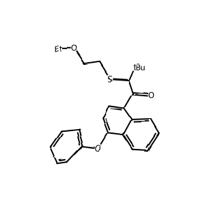 CCOCCSC(C(=O)c1ccc(Oc2ccccc2)c2ccccc12)C(C)(C)C